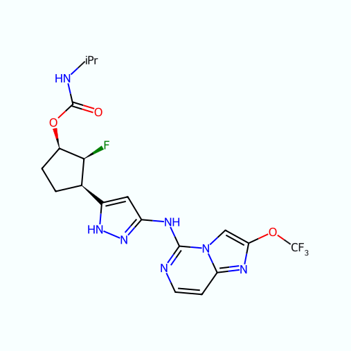 CC(C)NC(=O)O[C@@H]1CC[C@H](c2cc(Nc3nccc4nc(OC(F)(F)F)cn34)n[nH]2)[C@@H]1F